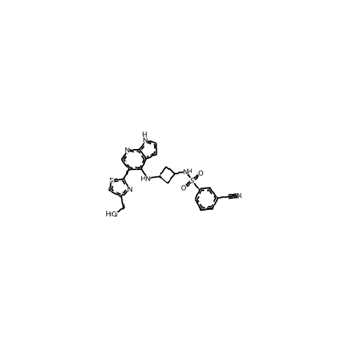 N#Cc1cccc(S(=O)(=O)NC2CC(Nc3c(-c4nc(CO)cs4)cnc4[nH]ccc34)C2)c1